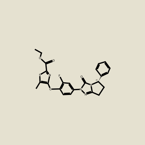 CCOC(=O)c1nc(Oc2ccc(-n3nc4n(c3=O)[C@H](c3ccccc3)CC4)cc2F)c(C)s1